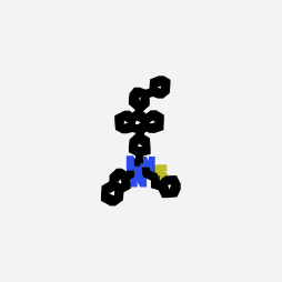 c1ccc(-c2cccc(-c3c4ccccc4c(-c4ccc(-c5nc(-c6ccc7ccccc7c6)nc(-c6cc7ccccc7s6)n5)cc4)c4ccccc34)c2)cc1